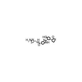 COc1ncccc1-c1ccc(O)c(-c2nc3cc(C(=O)NCCC4CSC(N)=N4)ccc3[nH]2)c1